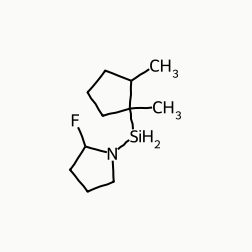 CC1CCCC1(C)[SiH2]N1CCCC1F